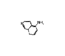 NC1=C2C=CN=CC2CC=C1